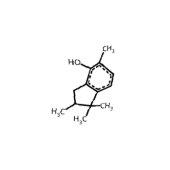 Cc1ccc2c(c1O)CC(C)C2(C)C